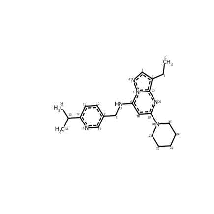 CCc1cnn2c(NCc3ccc(C(C)C)nc3)cc(N3CCCCC3)nc12